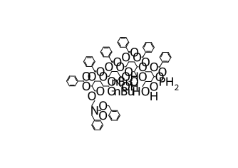 CCCCOCC1OC(OCCN(Cc2ccccc2)C(=O)OCc2ccccc2)C(OC(=O)c2ccccc2)C(OC(=O)c2ccccc2)C1OC1OC(CO)C(O)C(OC2OC(COCCCC)C(OC3OC(CO)C(O)C(OP)C3OC(=O)c3ccccc3)C(OC(=O)c3ccccc3)C2OC(=O)c2ccccc2)C1OC(=O)c1ccccc1